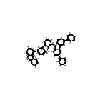 c1ccc(-c2ccc3c(c2)c2cc(-c4ccccc4)ccc2n3-c2cccc3c2oc2ccc(-c4cccc5oc6ccccc6c45)cc23)cc1